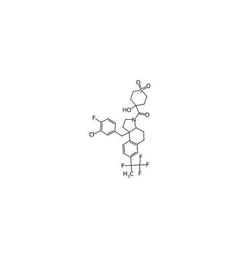 CC(F)(c1ccc2c(c1)CCC1N(C(=O)C3(O)CCS(=O)(=O)CC3)CCC21Cc1ccc(F)c(Cl)c1)C(F)(F)F